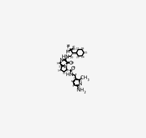 Cc1nc(N)ccc1CNC(=O)[C@@H]1CCc2cnc(NC[C@H](C3CCCCC3)C(F)(F)F)c(=O)n21